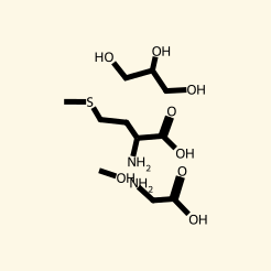 CO.CSCCC(N)C(=O)O.NCC(=O)O.OCC(O)CO